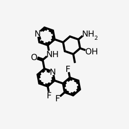 CC1CC(c2ccncc2NC(=O)c2ccc(F)c(-c3c(F)cccc3F)n2)CC(N)C1O